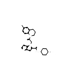 Cc1ccc2c(c1)CCCN2C(=O)Cn1c(C(=O)N[C@H]2CC[C@H](C(=O)O)CC2)cc2sccc21